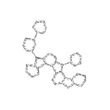 c1ccc(-c2cccc(-n3c4ccccc4c4c5c6ccc7sc8ccccc8c7c6n(-c6ccccc6)c5ccc43)c2)cc1